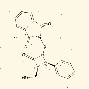 O=C1c2ccccc2C(=O)N1SN1C(=O)[C@H](CO)[C@@H]1c1ccccc1